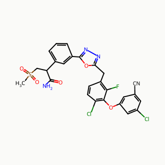 CS(=O)(=O)CC(C(N)=O)c1cccc(-c2nnc(Cc3ccc(Cl)c(Oc4cc(Cl)cc(C#N)c4)c3F)o2)c1